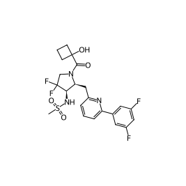 CS(=O)(=O)N[C@@H]1[C@H](Cc2cccc(-c3cc(F)cc(F)c3)n2)N(C(=O)C2(O)CCC2)CC1(F)F